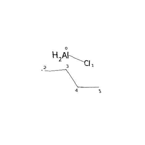 [AlH2][Cl].[CH2]CCC